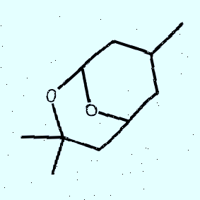 CC1CC2CC(C)(C)OC(C1)O2